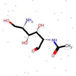 CC(=O)N[C@H](C=O)[C@@H](O)[C@H](O)[C@@H](N)CO